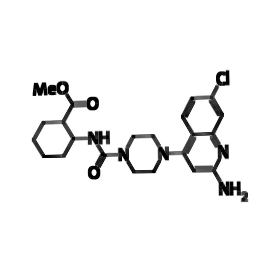 COC(=O)C1CCCCC1NC(=O)N1CCN(c2cc(N)nc3cc(Cl)ccc23)CC1